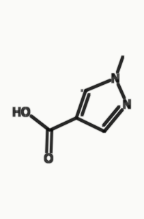 Cn1[c]c(C(=O)O)cn1